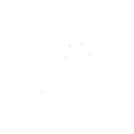 CC(C)CCS(=O)(=O)CC1CC(N(C)c2ncnc3[nH]ccc23)C1